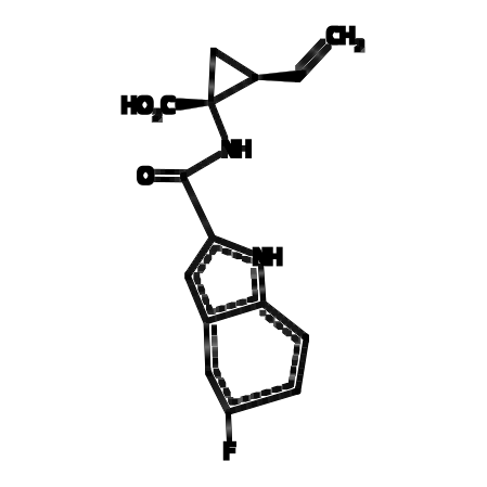 C=C[C@@H]1C[C@]1(NC(=O)c1cc2cc(F)ccc2[nH]1)C(=O)O